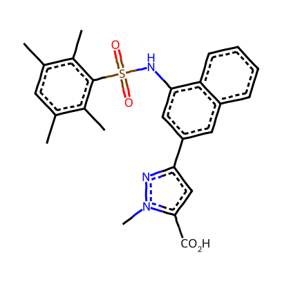 Cc1cc(C)c(C)c(S(=O)(=O)Nc2cc(-c3cc(C(=O)O)n(C)n3)cc3ccccc23)c1C